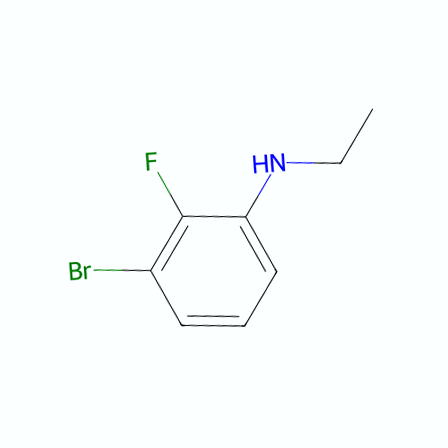 CCNc1cccc(Br)c1F